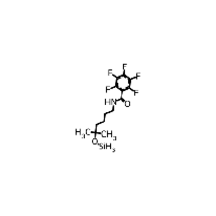 CC(C)(CCCCNC(=O)c1c(F)c(F)c(F)c(F)c1F)O[SiH3]